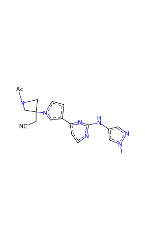 CC(=O)N1CC(CC#N)(n2ccc(-c3ccnc(Nc4cnn(C)c4)n3)c2)C1